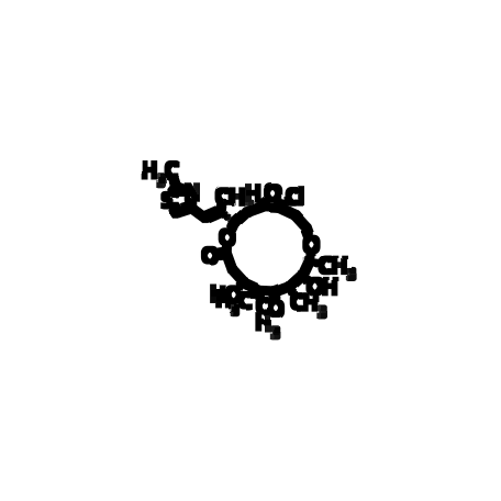 CC(=Cc1csc(C)n1)[C@@H]1C[C@@H]2O[C@]2(Cl)CCO[C@@H](C)[C@@H](O)[C@@H](C)C(=O)C(C)(C)[C@@H](O)CC(=O)O1